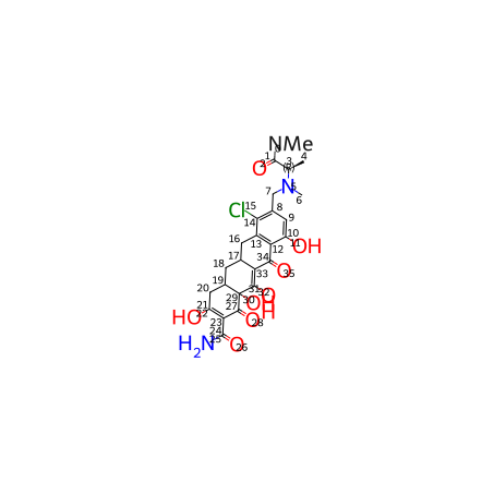 CNC(=O)[C@@H](C)N(C)Cc1cc(O)c2c(c1Cl)CC1CC3CC(O)=C(C(N)=O)C(=O)C3(O)C(O)=C1C2=O